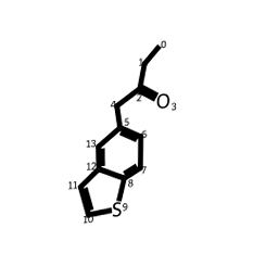 CCC(=O)Cc1ccc2sccc2c1